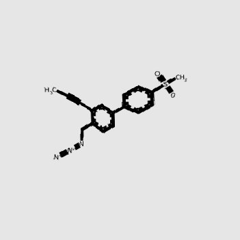 CC#Cc1cc(-c2ccc(S(C)(=O)=O)cc2)ccc1CN=[N+]=[N-]